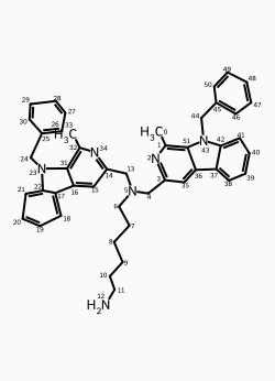 Cc1nc(CN(CCCCCCN)Cc2cc3c4ccccc4n(Cc4ccccc4)c3c(C)n2)cc2c3ccccc3n(Cc3ccccc3)c12